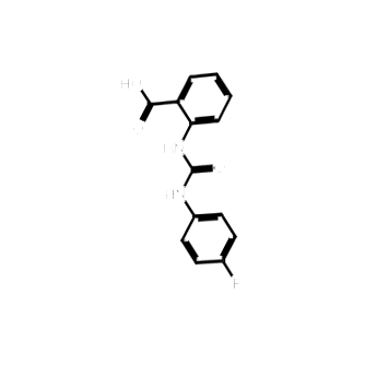 O=C(Nc1ccc(F)cc1)Nc1ccccc1C(=O)O